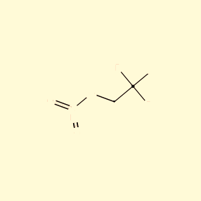 O=[SH](=O)O[CH]C(F)(F)F